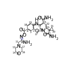 COc1cc(C(=O)O/N=C(\N)CN2CCOCC2)ccc1Nc1cnc(C2(C(N)=O)CC2)cc1C(N)=O